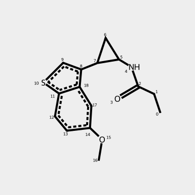 CCC(=O)NC1CC1c1csc2ccc(OC)cc12